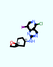 Clc1ncc(I)c2nc(N[C@@H]3CC[C@]45OCC4C5C3)ncc12